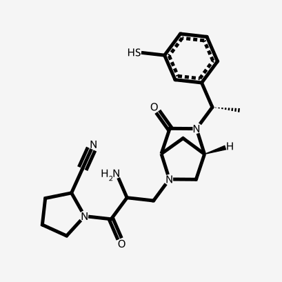 C[C@@H](c1cccc(S)c1)N1C(=O)C2C[C@H]1CN2CC(N)C(=O)N1CCCC1C#N